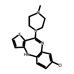 CN1CCN(C2=Nc3cc(Cl)ccc3Nc3ccsc32)CC1